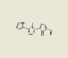 C=Cc1ccc(-c2ccc(-c3ccc[nH]3)[nH]2)[nH]1